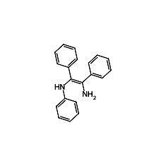 NC(=C(Nc1ccccc1)c1ccccc1)c1ccccc1